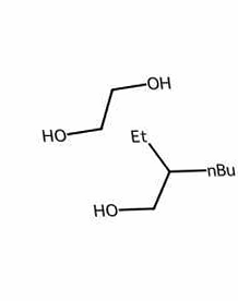 CCCCC(CC)CO.OCCO